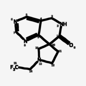 O=C1NCc2cncnc2C12CCN(CC(F)(F)F)C2